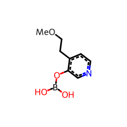 COCCc1ccncc1OB(O)O